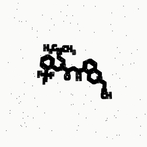 C#CCN1CCc2c(cccc2NCC(=O)N(CCN(C)C)Cc2ccccc2C(F)(F)F)C1